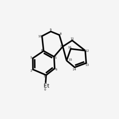 CCc1ccc2c(c1)C1(CCC2)CC2C=CC1C2